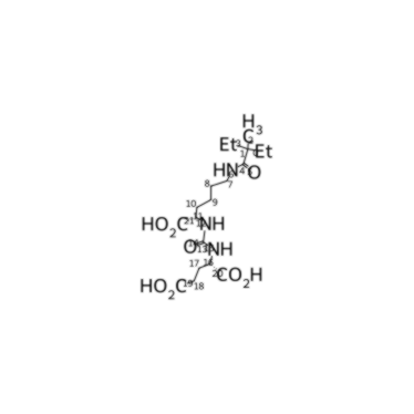 CCC(C)(CC)C(=O)NCCCC[C@H](NC(=O)N[C@@H](CCC(=O)O)C(=O)O)C(=O)O